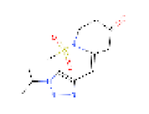 CC(C)n1cc(C=C2CC(=O)CCN2S(C)(=O)=O)nn1